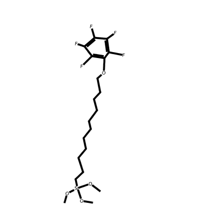 CO[Si](CCCCCCCCCCCOc1c(F)c(F)c(F)c(F)c1F)(OC)OC